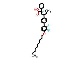 CCCCCCCCCCOc1ccc(-c2ccc(C(CC)C[C@@](F)(C(=O)O)C3CCCCC3)cc2)c(F)c1F